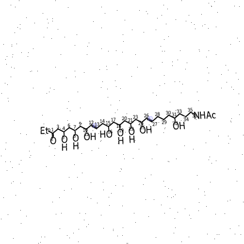 CCC(=O)CC(O)CC(O)CC(O)/C=C/CC(O)CC(O)CC(O)CC(O)/C=C/CCCC(O)CCCNC(C)=O